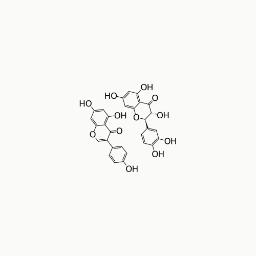 O=C1c2c(O)cc(O)cc2O[C@H](c2ccc(O)c(O)c2)[C@H]1O.O=c1c(-c2ccc(O)cc2)coc2cc(O)cc(O)c12